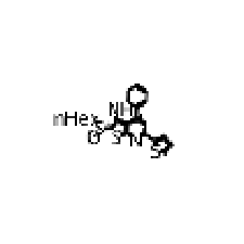 CCCCCC[S+]([O-])c1sc2nc(-c3cccs3)cc(C3=CC=CCC3)c2c1N